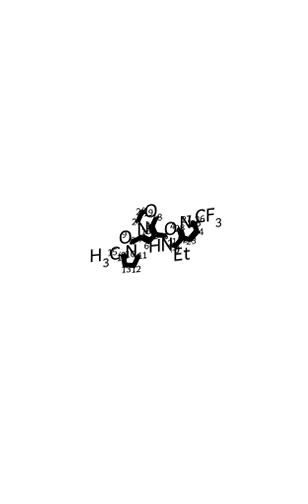 CC[C@H](NC(=O)c1cc(C(=O)N2CCC[C@@H]2C)n2c1COCC2)c1ccc(C(F)(F)F)nc1